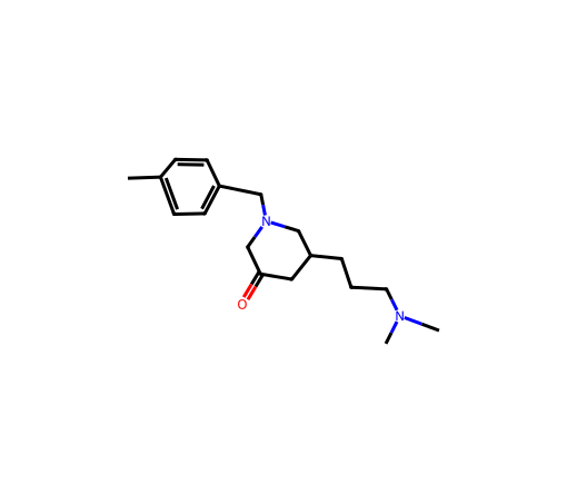 Cc1ccc(CN2CC(=O)CC(CCCN(C)C)C2)cc1